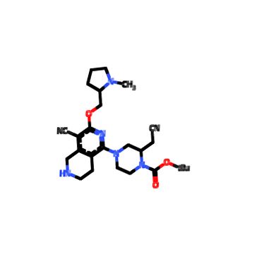 CN1CCCC1COc1nc(N2CCN(C(=O)OC(C)(C)C)C(CC#N)C2)c2c(c1C#N)CNCC2